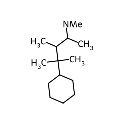 CNC(C)C(C)C(C)(C)C1CCCCC1